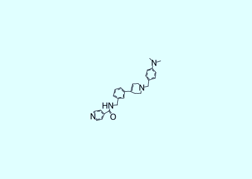 CN(C)c1ccc(CN2CC=C(c3cccc(CNC(=O)c4ccncc4)c3)CC2)cc1